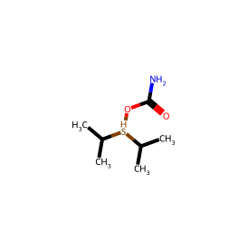 CC(C)[SH](OC(N)=O)C(C)C